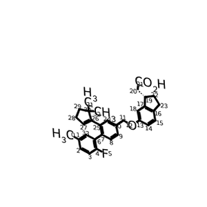 Cc1ccc(F)c(-c2ccc(COc3ccc4c(c3)[C@H](CC(=O)O)CC4)cc2C2=CCCC2(C)C)c1